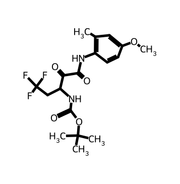 COc1ccc(NC(=O)C(=O)C(CC(F)(F)F)NC(=O)OC(C)(C)C)c(C)c1